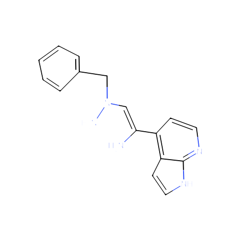 N/C(=C\N(N)Cc1ccccc1)c1ccnc2[nH]ccc12